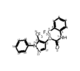 O=C(Nc1ccccc1C(F)(F)F)Oc1cnn(-c2ccccc2)c1C(F)(F)F